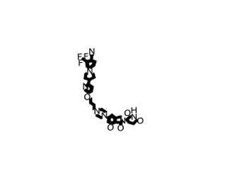 COc1cc(N2CCN(CCCCOc3ccc(C4CCN(c5ccc(C#N)c(C(F)(F)F)c5)CC4)nc3)CC2)cc2c1C(=O)N(C1CCC(=O)NC1=O)C2